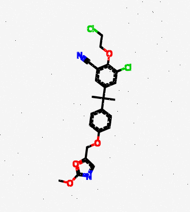 COc1ncc(COc2ccc(C(C)(C)c3cc(Cl)c(OCCCl)c(C#N)c3)cc2)o1